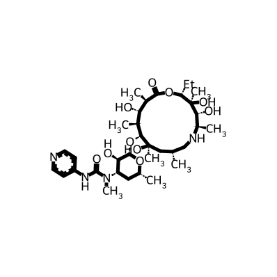 CC[C@H]1OC(=O)[C@H](C)[C@@H](O)[C@H](C)[C@@H](O[C@@H]2O[C@H](C)C[C@H](N(C)C(=O)Nc3ccncc3)[C@H]2O)[C@](C)(O)C[C@@H](C)CN[C@H](C)[C@@H](O)[C@]1(C)O